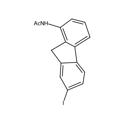 CC(=O)Nc1cccc2c1Cc1cc(I)ccc1-2